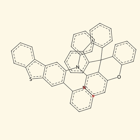 c1ccc(N(c2cc3c(cc2-c2ccccn2)sc2ccccc23)c2cccc3c2C2(c4ccccc4O3)c3ccccc3-c3ccccc32)cc1